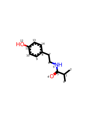 CC(C)C(=O)NCCc1ccc(O)cc1